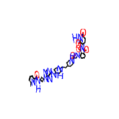 Cc1cccc(C(=O)NC2CC(n3cnc4c(NC5CCN(CCC6CCN(C(=O)CNc7cccc8c7C(=O)N([C@H]7CCC(=O)NC7=O)C8=O)CC6)CC5)ncnc43)C2)n1